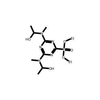 CCOP(=O)(OCC)c1nc(N(C)C(C)O)nc(N(C)C(C)O)n1